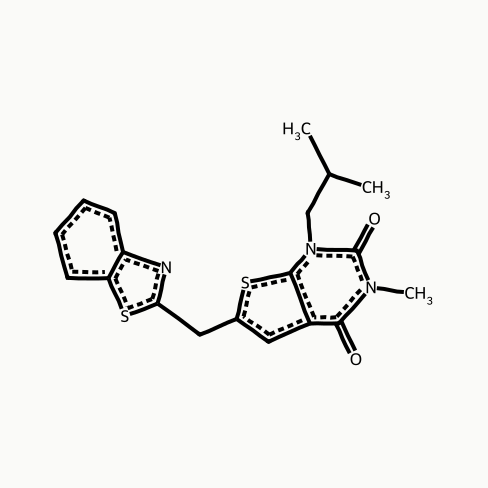 CC(C)Cn1c(=O)n(C)c(=O)c2cc(Cc3nc4ccccc4s3)sc21